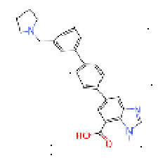 Cn1cnc2cc(-c3ccc(-c4cccc(CN5CCCC5)c4)cc3)cc(C(=O)O)c21